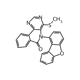 CSc1ncnc2c3ccccc3c(=O)n(-c3cccc4oc5ccccc5c34)c12